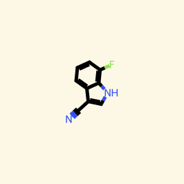 N#Cc1c[nH]c2c(F)cccc12